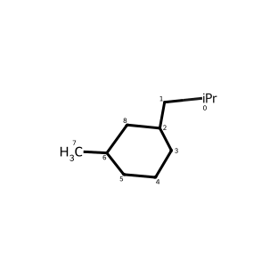 CC(C)CC1CCCC(C)C1